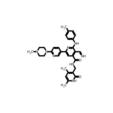 Cc1ccc(Nc2nc(-c3ccc(N4CCN(C)CC4)nc3)cc(C(=O)NCc3c(C)cc(C)[nH]c3=O)c2C=N)cc1